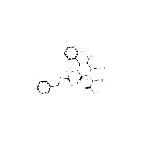 CC(C)COC(C(N)=O)N(C(=O)[C@H](Cc1ccccc1)NC(=O)OCc1ccccc1)[C@H](C=O)CC(C)C